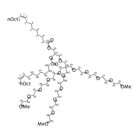 CCCCCCCC/C=C\CCCCCCCC(=O)OCC(COCC(COCCOCCOCCOCCOC)(COCCOCCOCCOCCOC)COCCOCCOCCOCCOC)OC(=O)CCCCCCC/C=C\CCCCCCCC